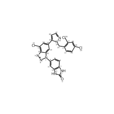 O=c1[nH]c2ccc(-n3nnc4c(Cl)cc(-c5ccnn5Cc5ccc(Cl)cc5Cl)cc43)cc2[nH]1